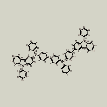 c1ccc(N(c2ccc(-c3ccc(N(c4ccccc4)c4ccc5c(c4)c4ccccc4n5-c4ccccc4)cc3)cc2)c2ccc(-c3ccc4c(c3)c3ccccc3n4-c3ccccc3)cc2)cc1